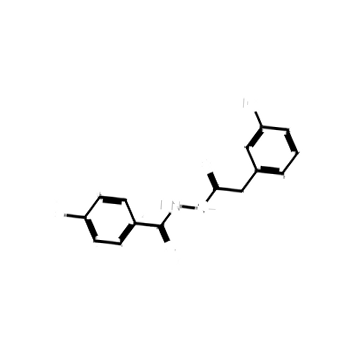 O=C(Cc1cccc(O)c1)NNC(=O)c1ccc(O)cc1